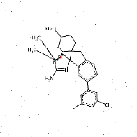 COC1CCC2(CC1)Cc1ccc(-c3cc(F)cc(Cl)c3)cc1C21N=C(N)N2CC(C)(C)CN=C21